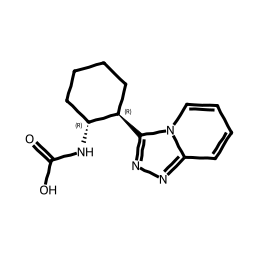 O=C(O)N[C@@H]1CCCC[C@H]1c1nnc2ccccn12